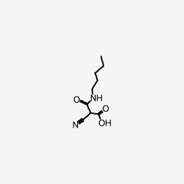 CCCCCNC(=O)C(C#N)C(=O)O